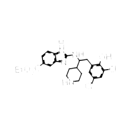 CCOC(=O)c1ccc2[nH]c(NC(Cc3cc(Cl)cc(Cl)c3O)C3CCNCC3)nc2c1